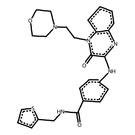 O=C(NCc1cccs1)c1ccc(Nc2nc3ccccc3n(CCN3CCOCC3)c2=O)cc1